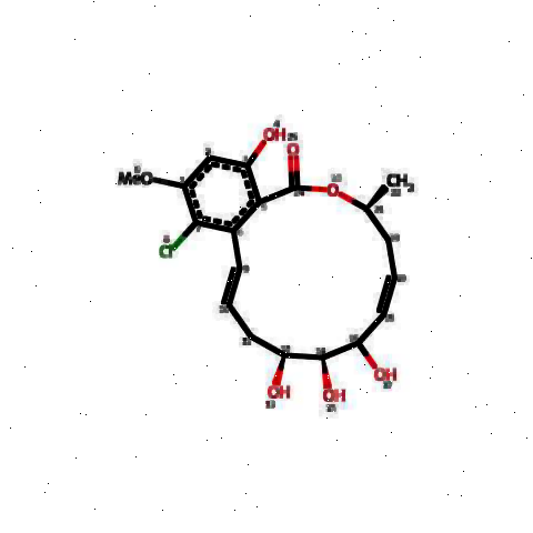 COc1cc(O)c2c(c1Cl)/C=C/C[C@H](O)[C@H](O)C(O)/C=C\C[C@H](C)OC2=O